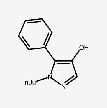 CCCCn1ncc(O)c1-c1ccccc1